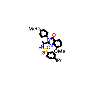 COc1ccc(-n2c(C(C)N(C)S(=O)(=O)c3ccc(C(C)C)cc3)nc3c(OC)cccc3c2=O)cc1